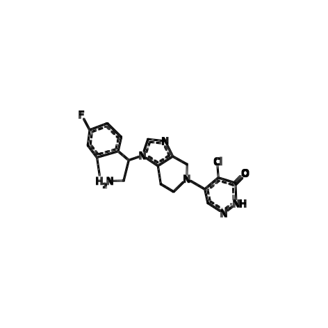 Cc1cc(F)ccc1C(CN)n1cnc2c1CCN(c1cn[nH]c(=O)c1Cl)C2